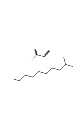 C=CC(=O)O.CC(C)CCCCCCCO